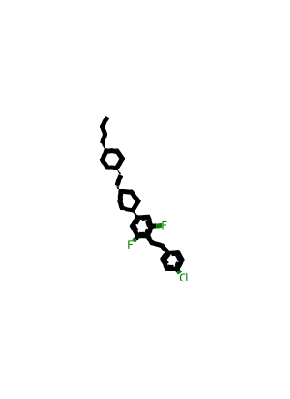 CCCC[C@H]1CC[C@H](CC[C@H]2CC[C@H](c3cc(F)c(CCc4ccc(Cl)cc4)c(F)c3)CC2)CC1